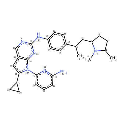 CC(CC1CCC(C)N1C)c1ccc(Nc2ncc3cc(C4CC4)n(-c4cccc(N)n4)c3n2)cc1